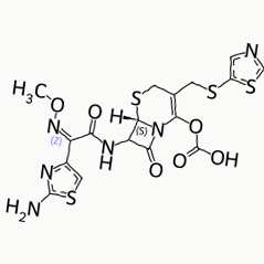 CO/N=C(\C(=O)NC1C(=O)N2C(OC(=O)O)=C(CSc3cncs3)CS[C@@H]12)c1csc(N)n1